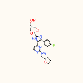 OCC1COC(c2nc(-c3ccc(F)cc3)c(-c3ccnc(NCC4CCCO4)n3)[nH]2)OC1